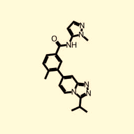 Cc1ccc(C(=O)Nc2ccnn2C)cc1-c1ccn2c(C(C)C)nnc2c1